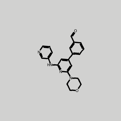 O=Cc1cccc(-c2cc(Nc3cccnc3)nc(N3CCOCC3)c2)c1